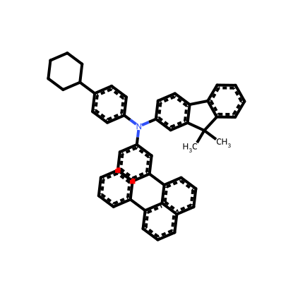 CC1(C)c2ccccc2-c2ccc(N(c3ccc(C4CCCCC4)cc3)c3cccc(-c4cccc5cccc(-c6ccccc6)c45)c3)cc21